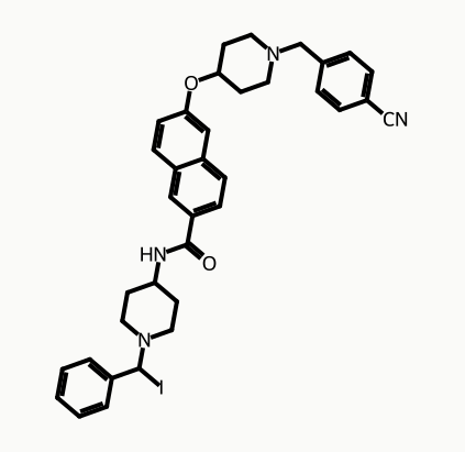 N#Cc1ccc(CN2CCC(Oc3ccc4cc(C(=O)NC5CCN(C(I)c6ccccc6)CC5)ccc4c3)CC2)cc1